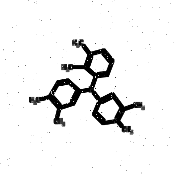 Cc1ccc(N(c2ccc(C)c(C)c2)c2cccc(C)c2C)cc1C